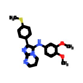 COc1ccc(Nc2c(-c3ccc(SC)cc3)nc3ncccn23)cc1OC